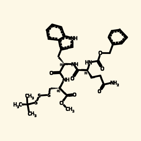 COC(=O)[C@H](CSSSC(C)(C)C)NC(=O)[C@H](Cc1c[nH]c2ccccc12)NC(=O)[C@H](CCC(N)=O)NC(=O)OCc1ccccc1